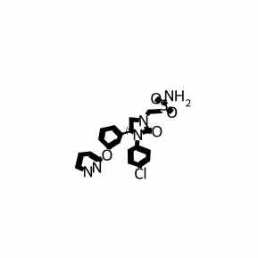 NS(=O)(=O)CCN1C[C@H](c2cccc(Oc3cccnn3)c2)N(c2ccc(Cl)cc2)C1=O